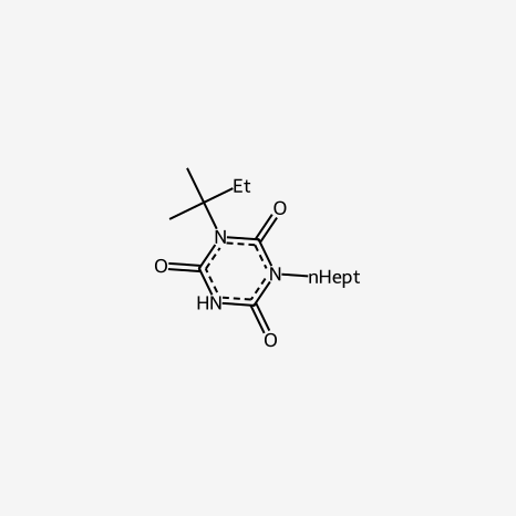 CCCCCCCn1c(=O)[nH]c(=O)n(C(C)(C)CC)c1=O